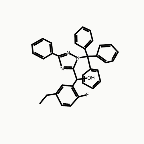 CCc1ccc(F)c(C(O)c2nc(-c3ccccc3)nn2C(c2ccccc2)(c2ccccc2)c2ccccc2)c1